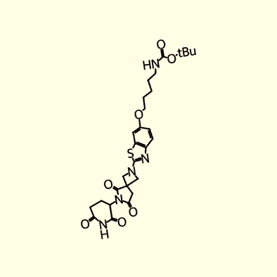 CC(C)(C)OC(=O)NCCCCCOc1ccc2nc(N3CC4(CC(=O)N(C5CCC(=O)NC5=O)C4=O)C3)sc2c1